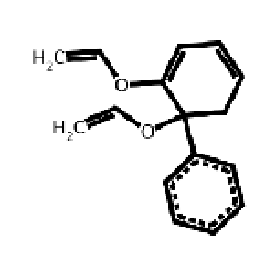 C=COC1=CC=CCC1(OC=C)c1ccccc1